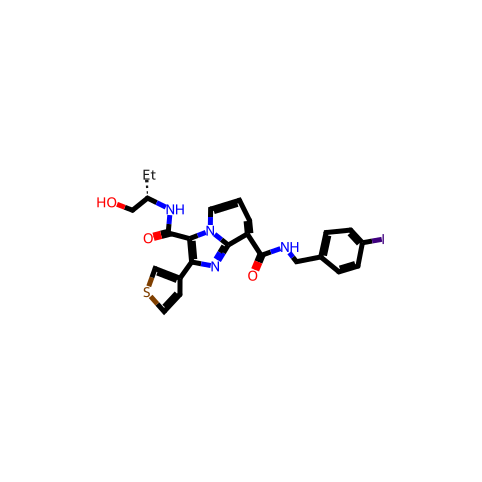 CC[C@@H](CO)NC(=O)c1c(-c2ccsc2)nc2c(C(=O)NCc3ccc(I)cc3)cccn12